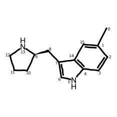 Cc1ccc2[nH]cc(C[C@H]3CCCN3)c2c1